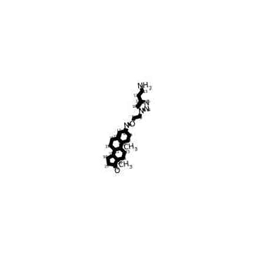 C[C@]12CC/C(=N\OCCn3cc(CCN)nn3)C=C1CCC1C2CC[C@]2(C)C(=O)CCC12